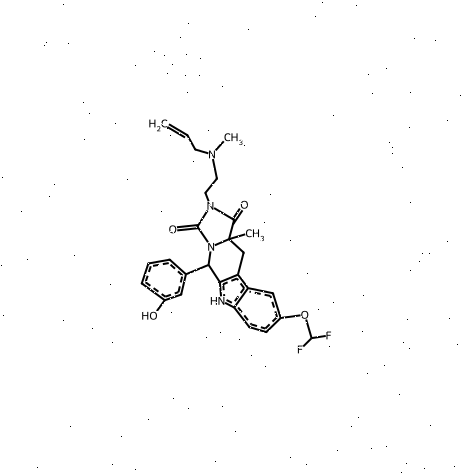 C=CCN(C)CCN1C(=O)N2C(c3cccc(O)c3)c3[nH]c4ccc(OC(F)F)cc4c3CC2(C)C1=O